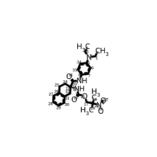 CCN(CC)c1ccc(NC(=O)[C@@]2(NC(=O)OCC(C)(C)[N+](=O)[O-])CCc3ccccc3C2)cc1